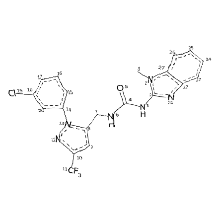 Cn1c(NC(=O)NCc2cc(C(F)(F)F)nn2-c2cccc(Cl)c2)nc2ccccc21